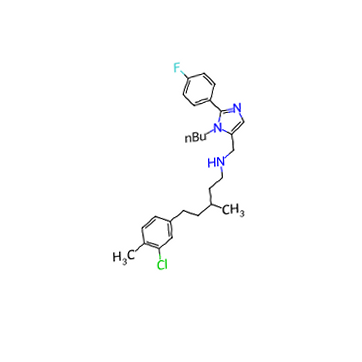 CCCCn1c(CNCCC(C)CCc2ccc(C)c(Cl)c2)cnc1-c1ccc(F)cc1